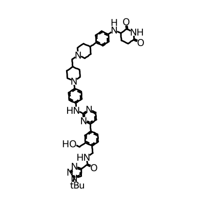 CC(C)(C)n1cc(C(=O)NCc2ccc(-c3ccnc(Nc4ccc(N5CCC(CN6CCC(c7ccc(NC8CCC(=O)NC8=O)cc7)CC6)CC5)cc4)n3)cc2CO)nn1